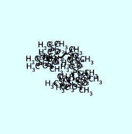 C[Si](C)(C)O[Si](C)(C)O[Si](C)(CC[Si](C)(C)O[Si](C)(C)O[Si](C)(C)CC[Si](C)(O[Si](C)(C)C)O[Si](C)(C)O[Si](C)(C)C)O[Si](C)(C)C